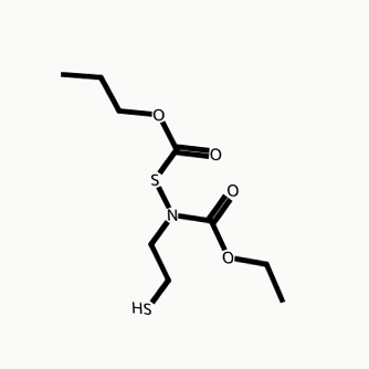 CCCOC(=O)SN(CCS)C(=O)OCC